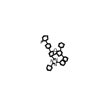 Fc1ccccc1-c1ccc(-c2ccc(-c3nc(-c4ccccc4)nc(-c4ccccc4)n3)c3c2oc2c(-c4ccccc4)cc(-c4ccccc4)cc23)cc1